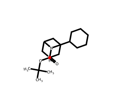 CC(C)(C)OC(=O)N1C2CNCC1(C1CCCCC1)C2